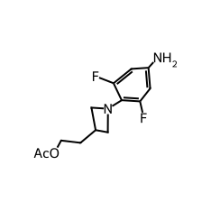 CC(=O)OCCC1CN(c2c(F)cc(N)cc2F)C1